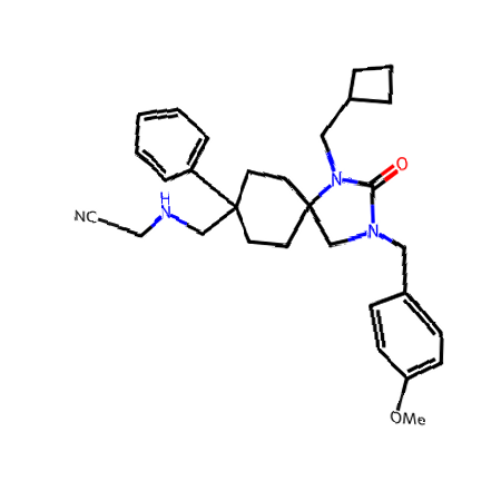 COc1ccc(CN2CC3(CCC(CNCC#N)(c4ccccc4)CC3)N(CC3CCC3)C2=O)cc1